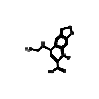 CCNC1C=C(C(=O)O)[N+]([O-])=c2cc3c(cc21)=COO3